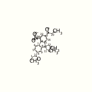 CCC(=O)c1ccc2c(c1)C(CC)(CC)c1cc(C(=O)CC)cc([N+](=O)[O-])c1-2